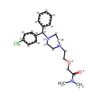 CN(C)C(=O)COCCN1CCN(C(c2ccccc2)c2ccc(Cl)cc2)CC1